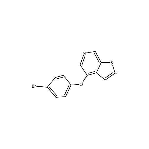 Brc1ccc(Oc2cncc3s[c]cc23)cc1